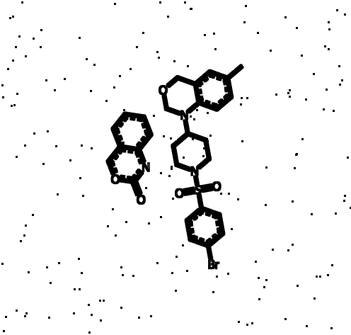 Cc1ccc2c(c1)COCN2C1CCN(S(=O)(=O)c2ccc(Br)cc2)CC1.O=c1nc2ccccc2co1